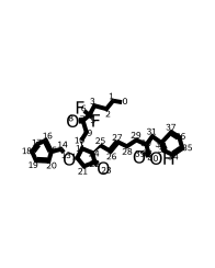 CCCCC(F)(F)C(=O)CC[C@H]1[C@H](OCc2ccccc2)CC(=O)[C@@H]1CC=CCCC(Cc1ccccc1)C(=O)O